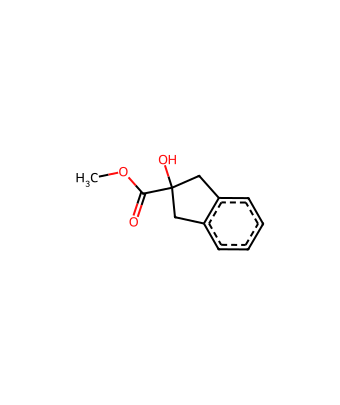 COC(=O)C1(O)Cc2ccccc2C1